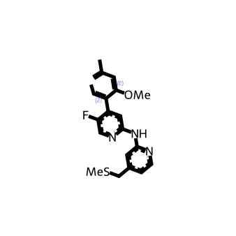 C=C(C)/C=C(OC)\C(=C/C)c1cc(Nc2cc(CSC)ccn2)ncc1F